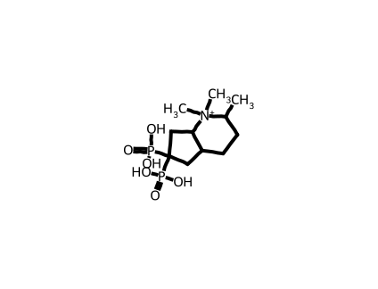 CC1CCC2CC(P(=O)(O)O)(P(=O)(O)O)CC2[N+]1(C)C